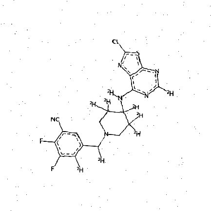 [2H]c1nc(N([2H])C2([2H])C([2H])([2H])CN(C([2H])c3cc(C#N)c(F)c(F)c3[2H])CC2([2H])[2H])c2nc(Cl)sc2n1